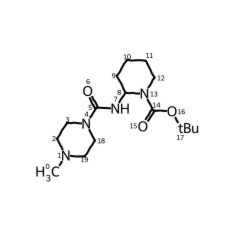 CN1CCN(C(=O)NC2CCCCN2C(=O)OC(C)(C)C)CC1